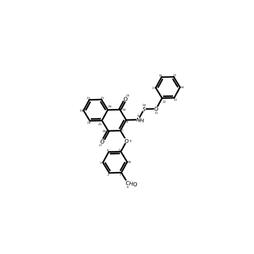 O=Cc1cccc(OC2=C(NSOc3ccccc3)C(=O)c3ccccc3C2=O)c1